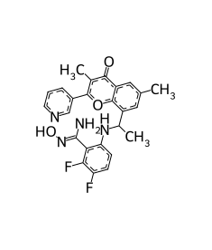 Cc1cc(C(C)Nc2ccc(F)c(F)c2C(N)=NO)c2oc(-c3cccnc3)c(C)c(=O)c2c1